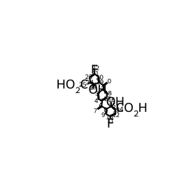 C=C(c1ccc(C(=C)c2cc(F)cc(C(=O)O)c2O)cc1)c1cc(F)cc(C(=O)O)c1O